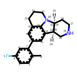 Cc1ccc(F)cc1-c1cc2c3c(c1)[C@@H]1CNCC[C@@H]1N3CCC2